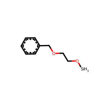 [SiH3]OCCOCc1ccccc1